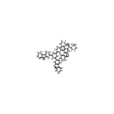 c1ccc(-c2nc3ccccc3c3c(-c4cccc(-c5cc(-c6ccc7c(c6)sc6ccccc67)cc(-c6ccc7c(c6)sc6ccccc67)c5)c4)c4c(cc23)oc2ccccc24)cc1